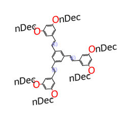 CCCCCCCCCCOc1cc(/C=C/c2cc(/C=C/c3cc(OCCCCCCCCCC)cc(OCCCCCCCCCC)c3)cc(/C=C/c3cc(OCCCCCCCCCC)cc(OCCCCCCCCCC)c3)c2)cc(OCCCCCCCCCC)c1